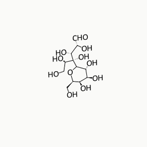 O=C[C@H](O)[C@@H](O)[C@@](O)(C1O[C@H](CO)[C@H](O)[C@H](O)[C@H]1O)[C@H](O)CO